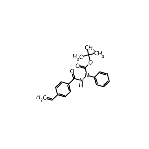 C=Cc1ccc(C(=O)NN(C(=O)OC(C)(C)C)c2ccccc2)cc1